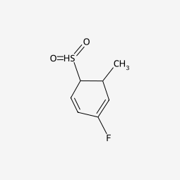 CC1C=C(F)C=CC1[SH](=O)=O